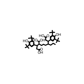 CCCC(CCCC(C(O)O)C(CC(=O)O)c1cc(C(C)(C)C)c(O)c(C(C)(C)C)c1)C(CC(=O)O)c1cc(C(C)(C)C)c(O)c(C(C)(C)C)c1